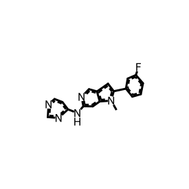 Cn1c(-c2cccc(F)c2)cc2cnc(Nc3ccncn3)cc21